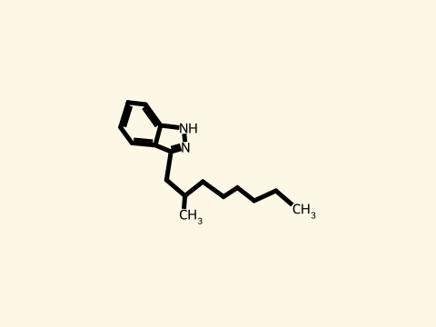 CCCCCCC(C)Cc1n[nH]c2ccccc12